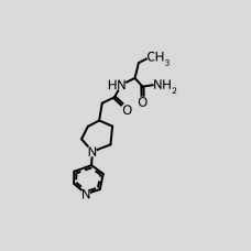 CCC(NC(=O)CC1CCN(c2ccncc2)CC1)C(N)=O